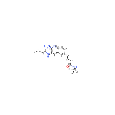 CCCCNc1cc2cc(CCCC(=O)NC(C)(C)C)ccc2nc1N